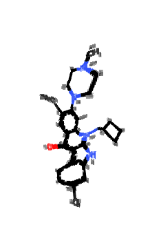 COc1cc2c(=O)c3c4ccc(C#N)cc4[nH]c3n(C3CCC3)c2cc1N1CCN(C)CC1